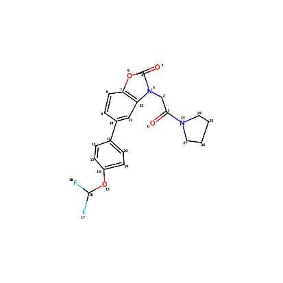 O=C(Cn1c(=O)oc2ccc(-c3ccc(OC(F)F)cc3)cc21)N1CCCC1